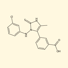 Cc1[nH]c(=S)n(Nc2cccc(Cl)c2)c1-c1cccc(C(=O)O)c1